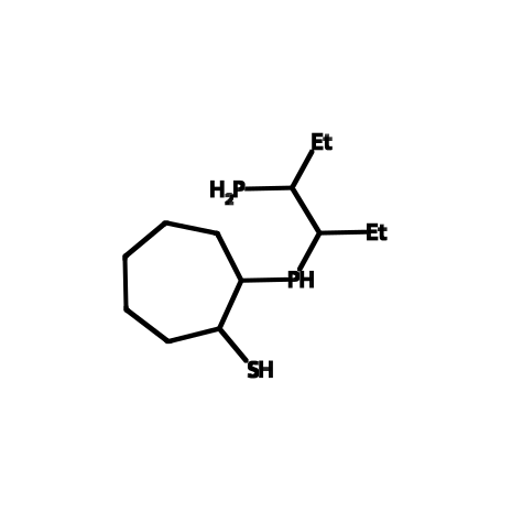 CCC(P)C(CC)PC1CCCCCC1S